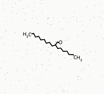 CCCCCCCCCC([C]=O)CCCCCCC